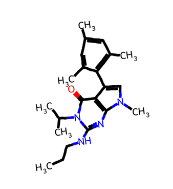 CCCNc1nc2c(c(-c3c(C)cc(C)cc3C)cn2C)c(=O)n1C(C)C